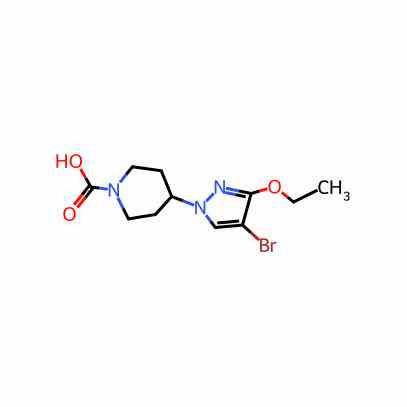 CCOc1nn(C2CCN(C(=O)O)CC2)cc1Br